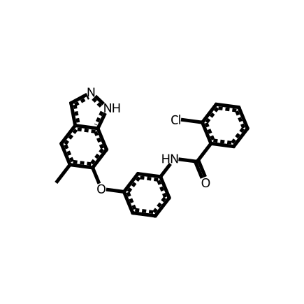 Cc1cc2cn[nH]c2cc1Oc1cccc(NC(=O)c2ccccc2Cl)c1